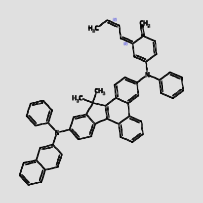 C=c1ccc(N(c2ccccc2)c2ccc3c4c(c5ccccc5c3c2)-c2ccc(N(c3ccccc3)c3ccc5ccccc5c3)cc2C4(C)C)c/c1=C/C=C\C